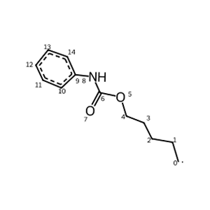 [CH2]CCCCOC(=O)Nc1ccccc1